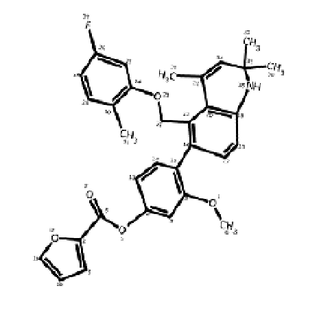 COc1cc(OC(=O)c2ccco2)ccc1-c1ccc2c(c1COc1cc(F)ccc1C)C(C)=CC(C)(C)N2